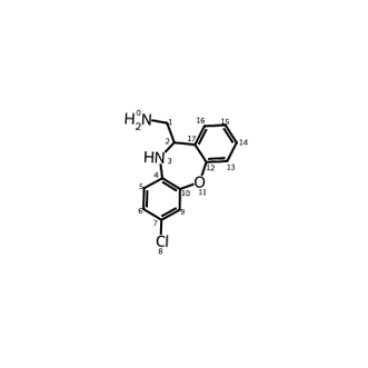 NCC1Nc2ccc(Cl)cc2Oc2ccccc21